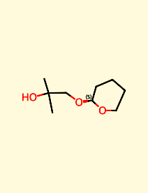 CC(C)(O)CO[C@H]1CCCCO1